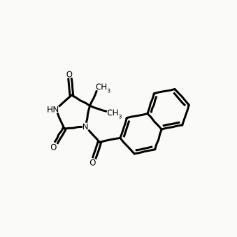 CC1(C)C(=O)NC(=O)N1C(=O)c1ccc2ccccc2c1